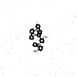 N#Cc1ccc(-n2c3ccccc3c3c(C#N)cccc32)cc1-c1cccc(-n2c3ccccc3c3cccc(-n4c5ccccc5c5ccccc54)c32)c1